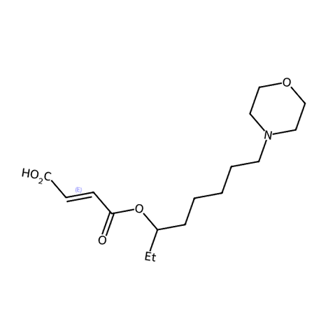 CCC(CCCCCN1CCOCC1)OC(=O)/C=C/C(=O)O